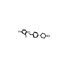 CC[C@H]1CC[C@H](c2ccc(COc3ccc(F)cc3F)cc2)CC1